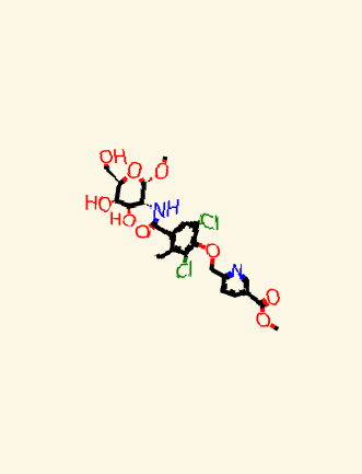 COC(=O)c1ccc(COc2c(Cl)cc(C(=O)N[C@H]3[C@@H](OC)O[C@H](CO)[C@@H](O)[C@@H]3O)c(C)c2Cl)nc1